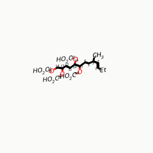 CCC=CC(C)CCC(OC(=O)O)C(CCC(COC(=O)O)OC(=O)O)OC(=O)O